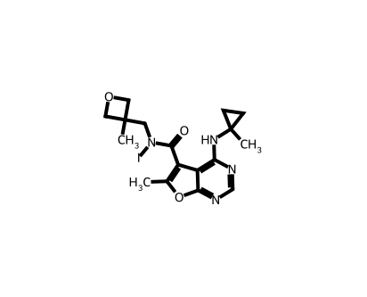 Cc1oc2ncnc(NC3(C)CC3)c2c1C(=O)N(I)CC1(C)COC1